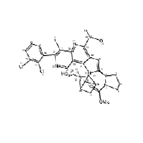 COC(=O)N1CCC[C@@H]1c1cc2c([S+](C)[O-])nc3c(F)c(-c4cccc(Cl)c4Cl)ncc3c2n1[C@H]1C2CC1N(C(=O)O)C2